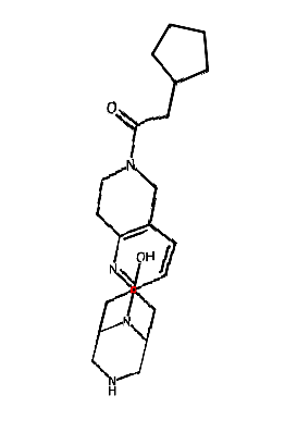 O=C(CC1CCCC1)N1CCc2nc(N3C4CNCC3CC(O)C4)ccc2C1